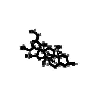 CCCCOC(=O)O[C@]1(C(=O)CO)[C@H](C)C[C@H]2[C@@H]3CCC4=CC(=O)C=C[C@]4(C)[C@@]3(F)[C@@H](O)C[C@@]21C